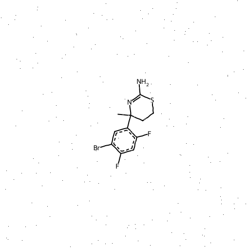 CC1(c2cc(Br)c(F)cc2F)CCSC(N)=N1